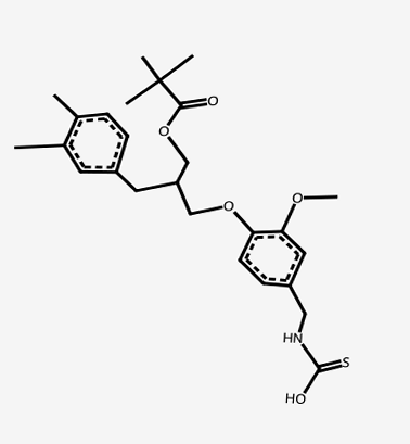 COc1cc(CNC(O)=S)ccc1OCC(COC(=O)C(C)(C)C)Cc1ccc(C)c(C)c1